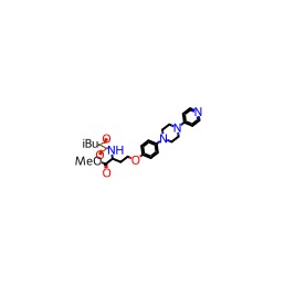 CCC(C)S(=O)(=O)NC(CCOc1ccc(N2CCN(c3ccncc3)CC2)cc1)C(=O)OC